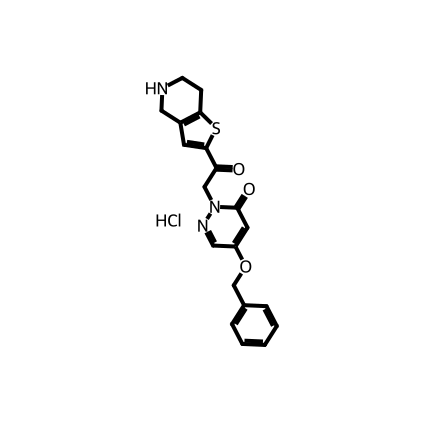 Cl.O=C(Cn1ncc(OCc2ccccc2)cc1=O)c1cc2c(s1)CCNC2